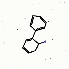 IC1CC=CC=C1c1ccccc1